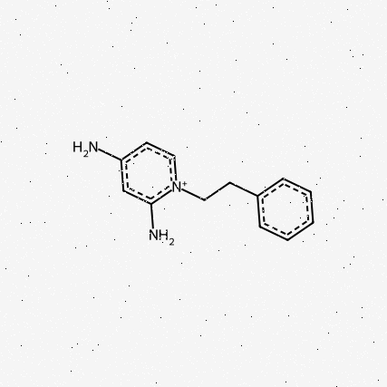 Nc1cc[n+](CCc2ccccc2)c(N)c1